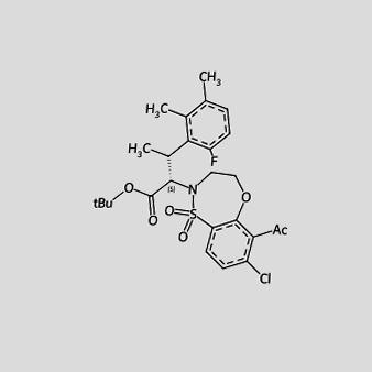 CC(=O)c1c(Cl)ccc2c1OCCN([C@H](C(=O)OC(C)(C)C)C(C)c1c(F)ccc(C)c1C)S2(=O)=O